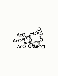 CO[C@@]1(c2ccc(Cl)c(OC3CCOCC3)c2)O[C@H](COC(C)=O)[C@@H](OC(C)=O)[C@H](OC(C)=O)[C@H]1OC(C)=O